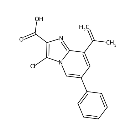 C=C(C)c1cc(-c2ccccc2)cn2c(Cl)c(C(=O)O)nc12